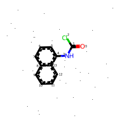 O=C(Cl)Nc1cccc2ccccc12